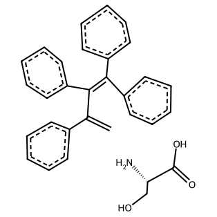 C=C(C(=C(c1ccccc1)c1ccccc1)c1ccccc1)c1ccccc1.N[C@@H](CO)C(=O)O